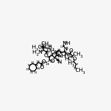 CCCCOC(C)(C)C(=O)N/C(=N/C=N)c1ccc([C@]2(C#N)O[C@H](COC(=O)CC3CCCCCC3)[C@@H](OC(=O)[C@H](N)C(C)(C)C)[C@H]2O)[nH]1